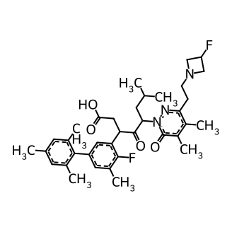 Cc1cc(C)c(-c2cc(C)c(F)c(C(CC(=O)O)C(=O)C(CC(C)C)n3nc(CCN4CC(F)C4)c(C)c(C)c3=O)c2)c(C)c1